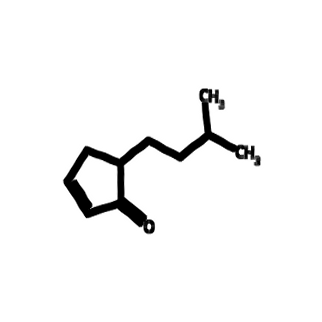 CC(C)CCC1CC=CC1=O